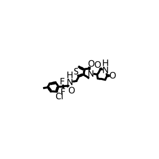 Cc1ccc(C(F)(F)C(=O)NCc2scc3c2CN(C2CCC(=O)NC2=O)C3=O)c(Cl)c1